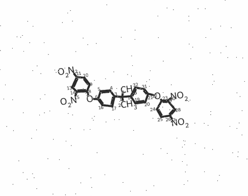 CC(C)(c1ccc(Oc2ccc([N+](=O)[O-])cc2[N+](=O)[O-])cc1)c1ccc(Oc2ccc([N+](=O)[O-])cc2[N+](=O)[O-])cc1